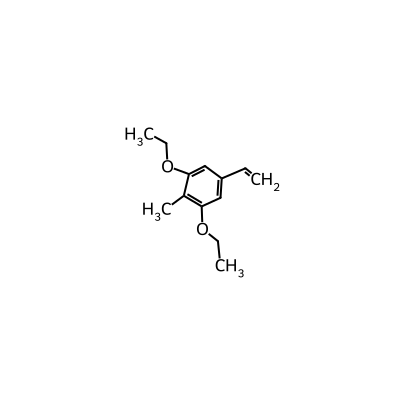 C=Cc1cc(OCC)c(C)c(OCC)c1